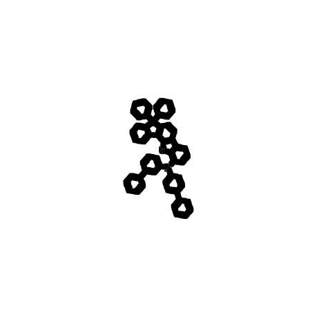 c1ccc(-c2ccc(N(c3cccc(-c4ccccc4)c3)c3cccc4c3oc3c5c(ccc34)C(c3ccccc3)(c3ccccc3)c3ccccc3-5)cc2)cc1